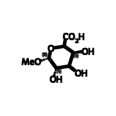 CO[C@@H]1OC(C(=O)O)[C@@H](O)C(O)[C@@H]1O